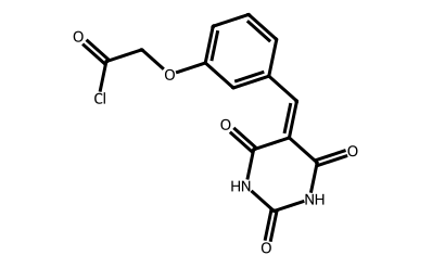 O=C(Cl)COc1cccc(C=C2C(=O)NC(=O)NC2=O)c1